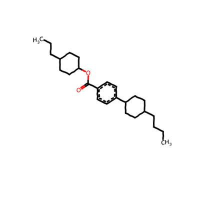 CCCCC1CCC(c2ccc(C(=O)OC3CCC(CCC)CC3)cc2)CC1